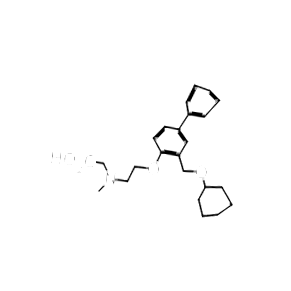 CN(CCOc1ccc(-c2ccccc2)cc1COC1CCCCC1)CC(=O)O